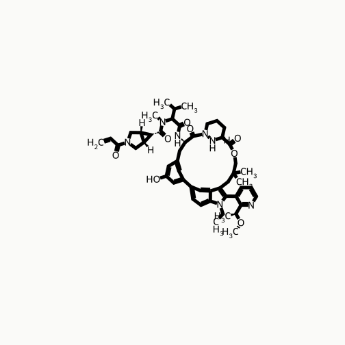 C=CC(=O)N1C[C@@H]2[C@H](C1)[C@@H]2C(=O)N(C)C(C(=O)N[C@H]1Cc2cc(O)cc(c2)-c2ccc3c(c2)c(c(-c2cccnc2[C@H](C)OC)n3CC)CC(C)(C)COC(=O)[C@@H]2CCCN(N2)C1=O)C(C)C